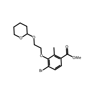 COC(=O)c1ccc(Br)c(OCCOC2CCCCO2)c1C